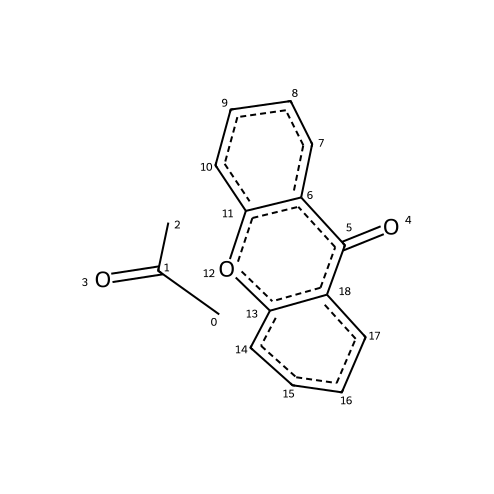 CC(C)=O.O=c1c2ccccc2oc2ccccc12